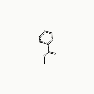 COC(=O)c1n[c]ncn1